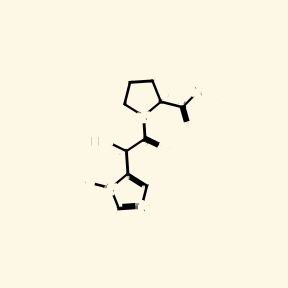 Cn1cncc1C(O)C(=O)N1CCCC1C(N)=O